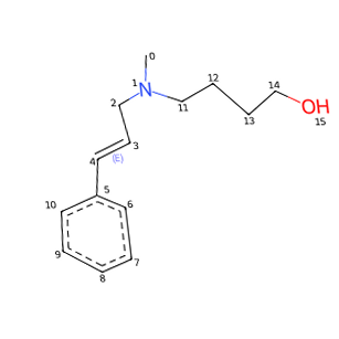 CN(C/C=C/c1ccccc1)CCCCO